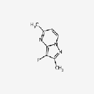 Cc1ccn2nc(C)c(F)c2n1